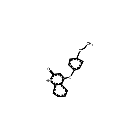 CCOc1ccc(Oc2cc(=O)[nH]c3ccccc23)cc1